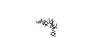 C=N/C(=N\c1nc(C)c(-c2cc(NC(=O)C(=O)OCc3ccccc3)ccc2C)cc1C)NC